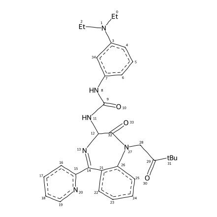 CCN(CC)c1cccc(NC(=O)NC2N=C(c3ccccn3)c3ccccc3N(CC(=O)C(C)(C)C)C2=O)c1